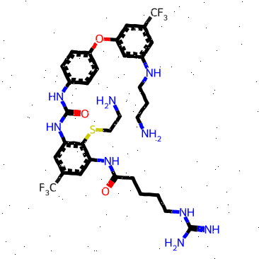 N=C(N)NCCCCC(=O)Nc1cc(C(F)(F)F)cc(NC(=O)Nc2ccc(Oc3cc(NCCCN)cc(C(F)(F)F)c3)cc2)c1SCCN